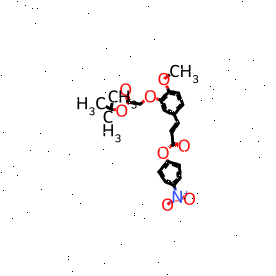 COc1ccc(C=CC(=O)Oc2ccc([N+](=O)[O-])cc2)cc1OCC(=O)OC(C)(C)C